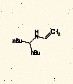 C=CNC(CCCC)CCCC